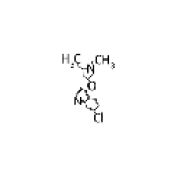 CCC1CC(Oc2ccnc3cc(Cl)ccc23)CN1CC